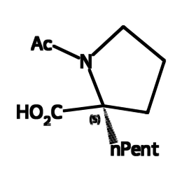 CCCCC[C@@]1(C(=O)O)CCCN1C(C)=O